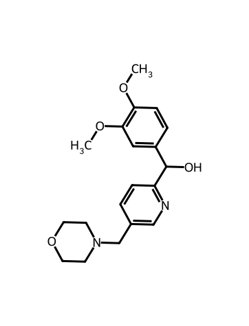 COc1ccc(C(O)c2ccc(CN3CCOCC3)cn2)cc1OC